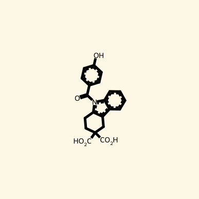 O=C(c1ccc(O)cc1)n1c2c(c3ccccc31)CC(C(=O)O)(C(=O)O)CC2